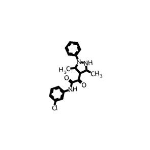 CC1NN(c2ccccc2)C(C)C1C(=O)C(=O)Nc1cccc(Cl)c1